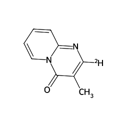 [2H]c1nc2ccccn2c(=O)c1C